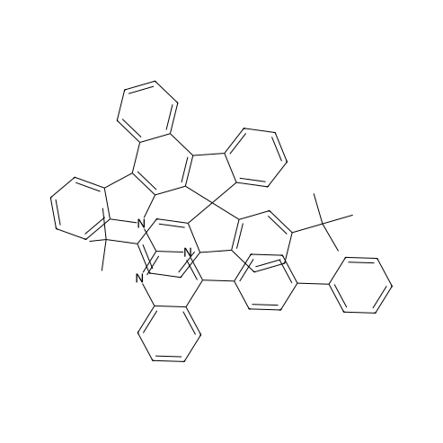 CC(C)(C)c1ccc2c(c1)C1(c3cc(C(C)(C)C)ccc3-2)c2ccccc2-c2c1c1c(c3ccccc23)c2ccccc2n1-c1nc(-c2ccc(-c3ccccc3)cc2)c2ccccc2n1